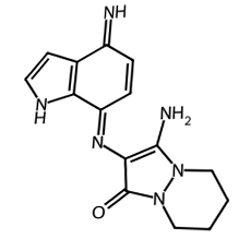 N=C1C=C/C(=N\c2c(N)n3n(c2=O)CCCC3)c2[nH]ccc21